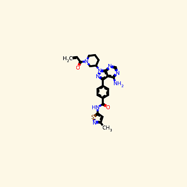 C=CC(=O)N1CCCC(n2nc(-c3ccc(C(=O)Nc4cc(C)ns4)cc3)c3c(N)ncnc32)C1